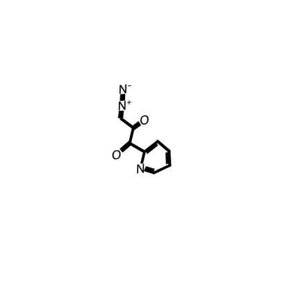 [N-]=[N+]=CC(=O)C(=O)c1ccccn1